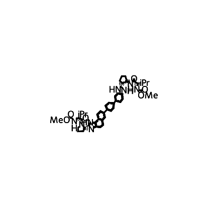 COC(=O)N[C@H](C(=O)N[C@H]1CCC[C@H]1c1nc2ccc(-c3ccc(-c4ccc5c(ccc6nc([C@@H]7CCCN7C(=O)[C@@H](NC(=O)OC)C(C)C)[nH]c65)c4)cc3)cc2[nH]1)C(C)C